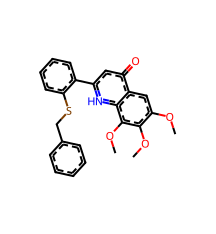 COc1cc2c(=O)cc(-c3ccccc3SCc3ccccc3)[nH]c2c(OC)c1OC